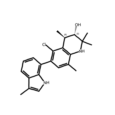 Cc1cc(-c2cccc3c(C)c[nH]c23)c(Cl)c2c1NC(C)(C)[C@@H](O)[C@@H]2C